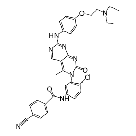 CCN(CC)CCOc1ccc(Nc2ncc3c(C)n(-c4cc(NC(=O)c5ccc(C#N)cc5)ccc4Cl)c(=O)nc3n2)cc1